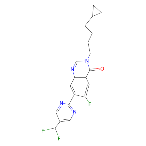 O=c1c2cc(F)c(-c3ncc(C(F)F)cn3)cc2ncn1CCCCC1CC1